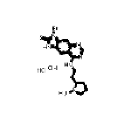 CCn1c(=S)[nH]c2cc3c(NCCC4CCCN4C)ncnc3cc21.Cl.Cl